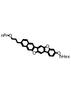 CCCCCCOc1ccc2c(c1)oc1cc3c(cc12)oc1cc2cc(CCCOCCC)ccc2cc13